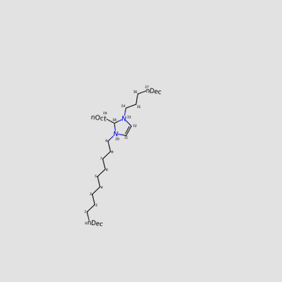 CCCCCCCCCCCCCCCCCCCN1C=CN(CCCCCCCCCCCCC)C1CCCCCCCC